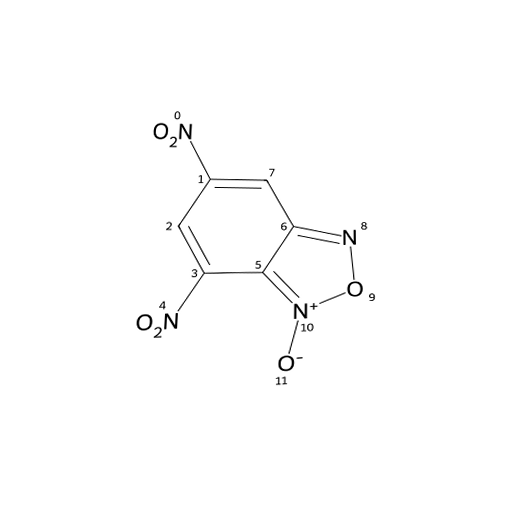 O=[N+]([O-])c1cc([N+](=O)[O-])c2c(c1)no[n+]2[O-]